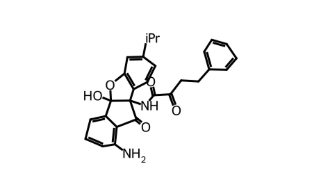 CC(C)c1ccc2c(c1)OC1(O)c3cccc(N)c3C(=O)C21NC(=O)C(=O)CCc1ccccc1